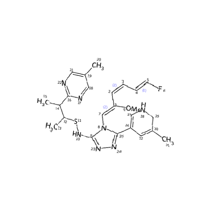 COC(/C=C\C=C\F)=C\n1c(NSC(C)C(C)c2ncc(C)cn2)nnc1C1=CNCC(C)=C1